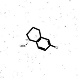 O=C[C@@H]1CCCc2cc(Cl)ccc21